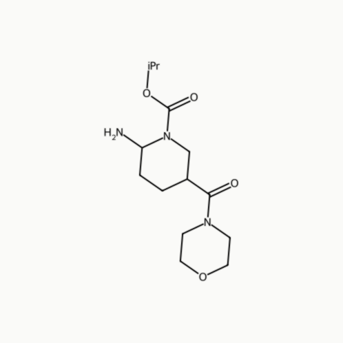 CC(C)OC(=O)N1CC(C(=O)N2CCOCC2)CCC1N